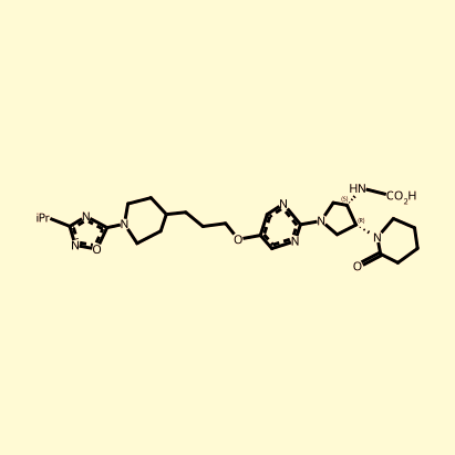 CC(C)c1noc(N2CCC(CCCOc3cnc(N4C[C@H](NC(=O)O)[C@H](N5CCCCC5=O)C4)nc3)CC2)n1